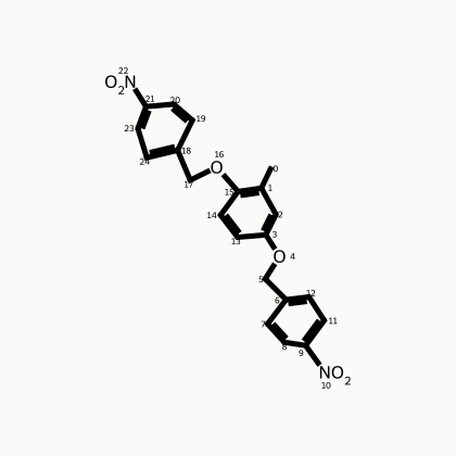 Cc1cc(OCc2ccc([N+](=O)[O-])cc2)ccc1OCc1ccc([N+](=O)[O-])cc1